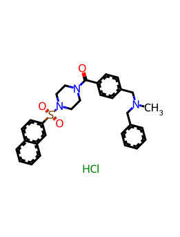 CN(Cc1ccccc1)Cc1ccc(C(=O)N2CCN(S(=O)(=O)c3ccc4ccccc4c3)CC2)cc1.Cl